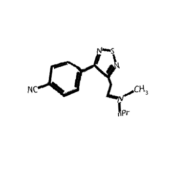 CCCN(C)Cc1nsnc1-c1ccc(C#N)cc1